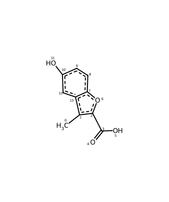 Cc1c(C(=O)O)oc2ccc(O)cc12